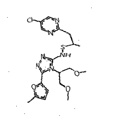 COCC(COC)n1c(NSC(C)Cc2ncc(Cl)cn2)nnc1-c1ccc(C)o1